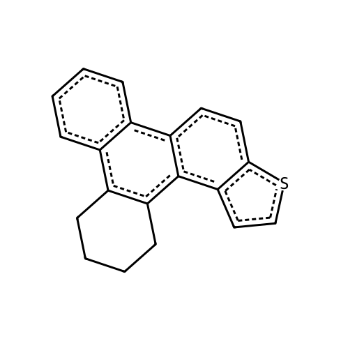 c1ccc2c(c1)c1c(c3c4ccsc4ccc23)CCCC1